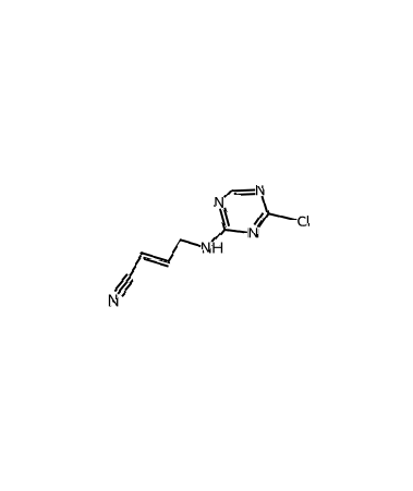 N#CC=CCNc1ncnc(Cl)n1